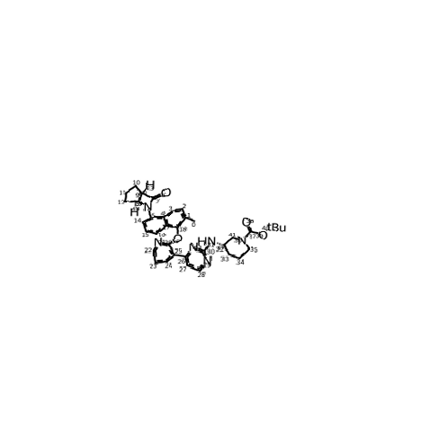 Cc1ccc2c(N3C(=O)[C@H]4CCC[C@@H]43)cccc2c1Oc1ncccc1-c1ccnc(N[C@H]2CCCN(C(=O)OC(C)(C)C)C2)n1